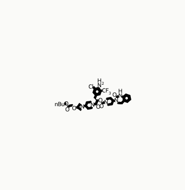 CCCCOC(=O)COC1CN(C2CCN(C(=O)[C@@H](Cc3cc(Cl)c(N)c(C(F)(F)F)c3)OC(=O)N3CCC(N4CCc5ccccc5NC4=O)CC3)CC2)C1